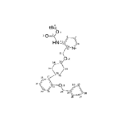 CC(C)(C)OC(=O)Nc1cccnc1COC1CCC(c2ccccc2OCc2ccccc2)CC1